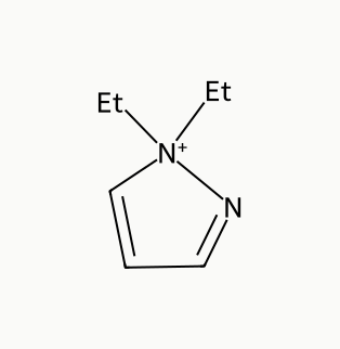 CC[N+]1(CC)C=CC=N1